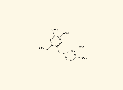 COc1ccc(Cc2cc(OC)c(OC)cc2CC(=O)O)cc1OC